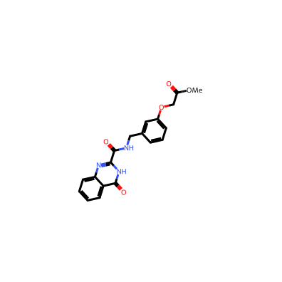 COC(=O)COc1cccc(CNC(=O)c2nc3ccccc3c(=O)[nH]2)c1